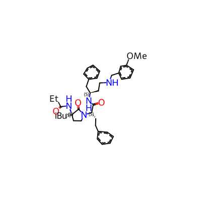 CCC(=O)N[C@]1([C@@H](C)CC)CCN([C@@H](CCc2ccccc2)C(=O)N[C@H](CCNCc2cccc(OC)c2)Cc2ccccc2)C1=O